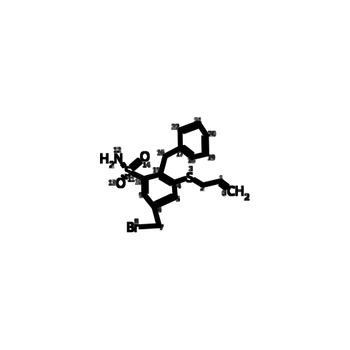 C=CCSc1cc(CBr)cc(S(N)(=O)=O)c1Cc1ccccc1